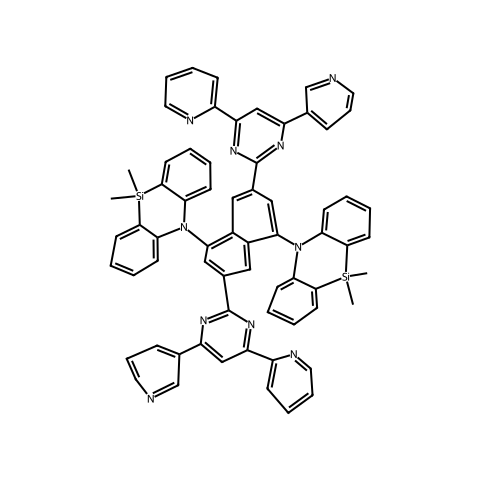 C[Si]1(C)c2ccccc2N(c2cc(-c3nc(-c4cccnc4)cc(-c4ccccn4)n3)cc3c(N4c5ccccc5[Si](C)(C)c5ccccc54)cc(-c4nc(-c5cccnc5)cc(-c5ccccn5)n4)cc23)c2ccccc21